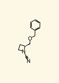 N#CN1CC[C@H]1COCc1ccccc1